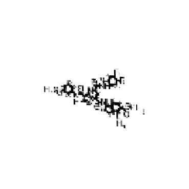 COC(=O)c1ccc2c(c1C)CC[C@@H]2NC(=O)c1cc(C(=O)NCc2ccc(F)c(F)c2)nc2c(C(=O)Nc3cccc(OC)c3)cnn12